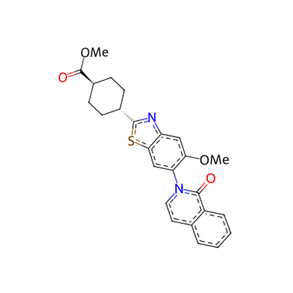 COc1cc2nc([C@H]3CC[C@H](C(=O)OC)CC3)sc2cc1-n1ccc2ccccc2c1=O